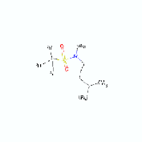 [2H]C([2H])([2H])S(=O)(=O)N(CCC(C)C(C)(C)C)C(C)(C)C